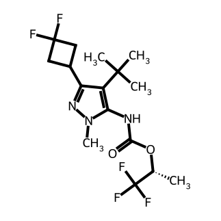 C[C@@H](OC(=O)Nc1c(C(C)(C)C)c(C2CC(F)(F)C2)nn1C)C(F)(F)F